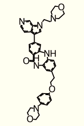 O=C1Nc2cc(CCOc3ccc(N4CCOCC4)cc3)ccc2Nc2cc(-c3cn(CCN4CCOCC4)c4cnccc34)ccc21